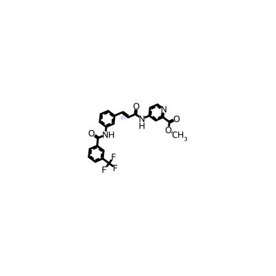 COC(=O)c1cc(NC(=O)/C=C/c2cccc(NC(=O)c3cccc(C(F)(F)F)c3)c2)ccn1